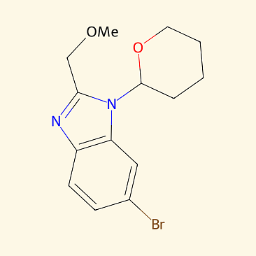 COCc1nc2ccc(Br)cc2n1C1CCCCO1